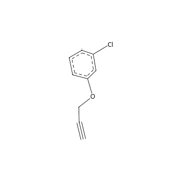 C#CCOc1cc[c]c(Cl)c1